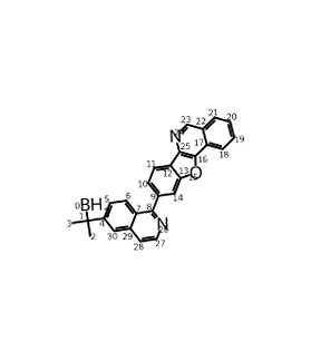 BC(C)(C)c1ccc2c(-c3ccc4c(c3)oc3c5ccccc5cnc43)nccc2c1